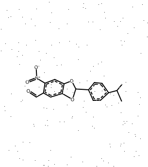 CC(C)c1ccc(C2Oc3cc(C=O)c([N+](=O)[O-])cc3O2)cc1